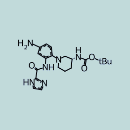 CC(C)(C)OC(=O)N[C@@H]1CCCN(c2ccc(N)cc2NC(=O)c2ncc[nH]2)C1